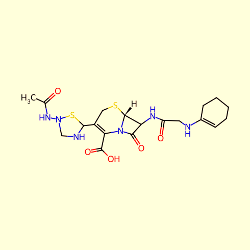 CC(=O)NN1CNC(C2=C(C(=O)O)N3C(=O)C(NC(=O)CNC4=CCCCC4)[C@H]3SC2)S1